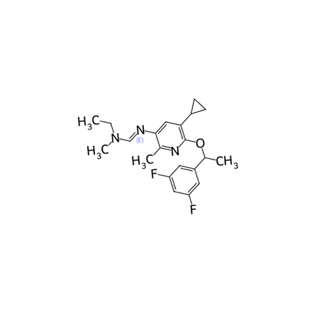 CCN(C)/C=N/c1cc(C2CC2)c(OC(C)c2cc(F)cc(F)c2)nc1C